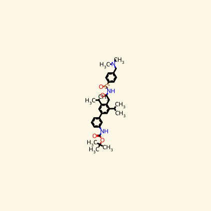 CC(C)c1cc(-c2cccc(NC(=O)OC(C)(C)C)c2)cc(C(C)C)c1CC(=O)N[S+]([O-])c1ccc(CN(C)C)cc1